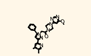 COc1cc(N2CCN(C(=O)Cn3nc(-c4cc(C)c(C)cn4)cc3-c3ccccc3)CC2)ncn1